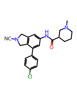 CN1CCCC(C(=O)Nc2cc3c(c(-c4ccc(Cl)cc4)c2)CN(C#N)C3)C1